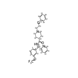 O=C(N[C@H](c1cccc(OC(F)(F)F)c1)c1ccccn1)C1CCN(CCOc2ccccc2)CC1